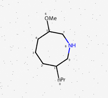 CCCC1CCCC(OC)CNC1